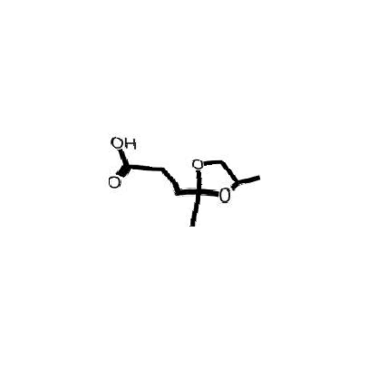 CC1COC(C)(CCC(=O)O)O1